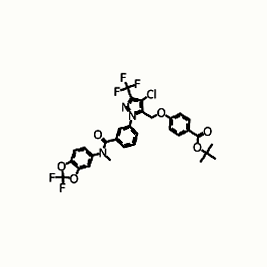 CN(C(=O)c1cccc(-n2nc(C(F)(F)F)c(Cl)c2COc2ccc(C(=O)OC(C)(C)C)cc2)c1)c1ccc2c(c1)OC(F)(F)O2